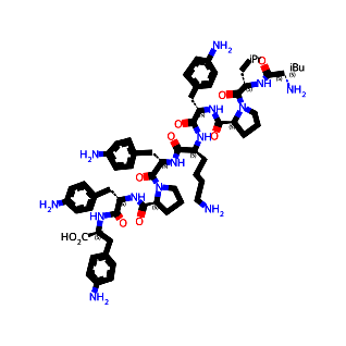 CC[C@H](C)[C@H](N)C(=O)N[C@@H](CC(C)C)C(=O)N1CCC[C@H]1C(=O)N[C@@H](Cc1ccc(N)cc1)C(=O)N[C@@H](CCCCN)C(=O)N[C@@H](Cc1ccc(N)cc1)C(=O)N1CCC[C@H]1C(=O)N[C@@H](Cc1ccc(N)cc1)C(=O)N[C@@H](Cc1ccc(N)cc1)C(=O)O